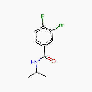 CC(C)NC(=O)c1ccc(F)c(Br)c1